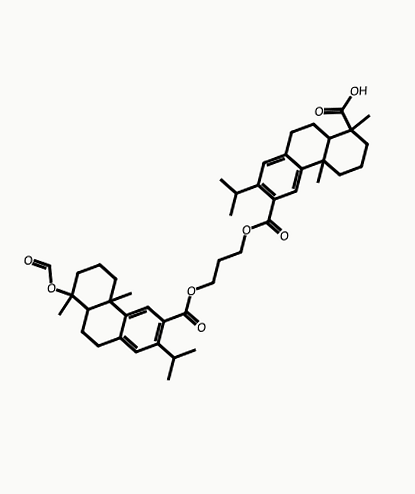 CC(C)c1cc2c(cc1C(=O)OCCCOC(=O)c1cc3c(cc1C(C)C)CCC1C(C)(C(=O)O)CCCC31C)C1(C)CCCC(C)(OC=O)C1CC2